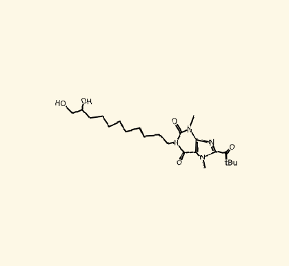 Cn1c(C(=O)C(C)(C)C)nc2c1c(=O)n(CCCCCCCCCC(O)CO)c(=O)n2C